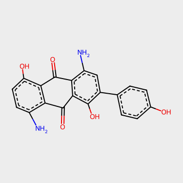 Nc1ccc(O)c2c1C(=O)c1c(O)c(-c3ccc(O)cc3)cc(N)c1C2=O